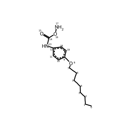 CCCCCCCCOc1ccc(NC(=O)ON)cc1